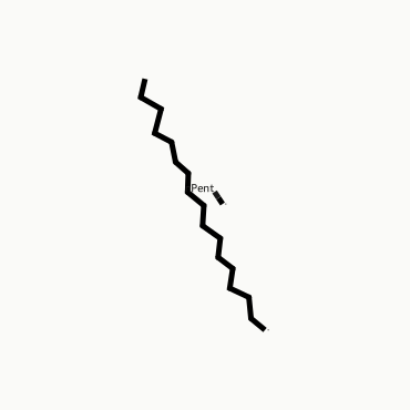 [CH2]CCCCC.[CH2]CCCCCCCCCCCCCCCC